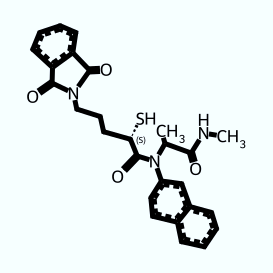 CNC(=O)C(C)N(C(=O)[C@@H](S)CCCN1C(=O)c2ccccc2C1=O)c1ccc2ccccc2c1